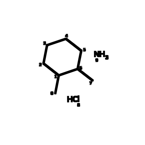 CC1CCCCC1C.Cl.N